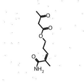 CC(=O)CC(=O)OCCC=C(C)C(N)=O